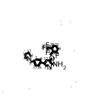 Nc1ncc(-c2ccc([CH]N3CCCC3)cc2)cc1OCc1c(F)cccc1C(F)(F)F